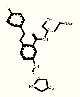 COCC[C@@H](CO)NC(=O)c1cc(NC[C@@H]2C[C@H](S)CN2)ccc1CCc1ccc(F)cc1